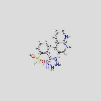 CS(=O)(=O)c1cccc(-c2ccnc3ncccc23)c1-c1nnn[nH]1